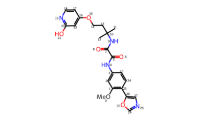 COc1cc(NC(=O)C(=O)NC(C)(C)CCOc2ccnc(O)c2)ccc1-c1cnco1